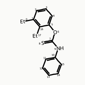 CCc1cccc(OC(=S)Nc2ccccc2)c1CC